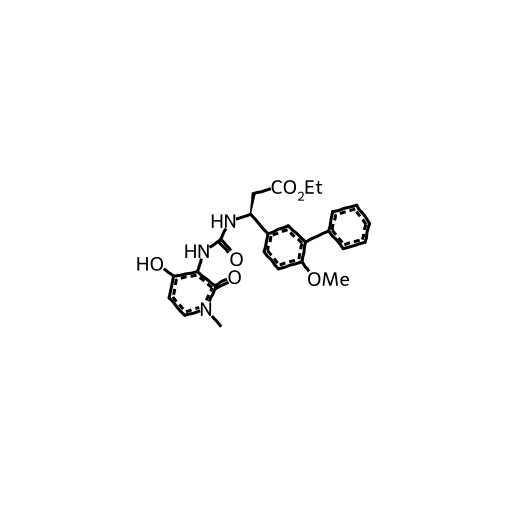 CCOC(=O)C[C@H](NC(=O)Nc1c(O)ccn(C)c1=O)c1ccc(OC)c(-c2ccccc2)c1